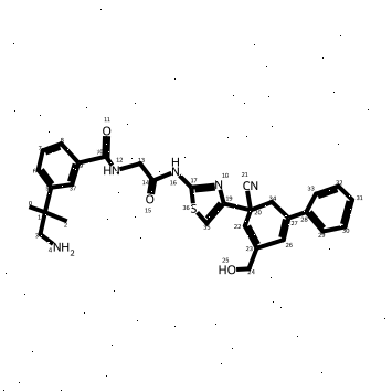 CC(C)(CN)c1cccc(C(=O)NCC(=O)Nc2nc(C3(C#N)C=C(CO)C=C(c4ccccc4)C3)cs2)c1